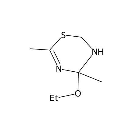 CCOC1(C)N=C(C)SCN1